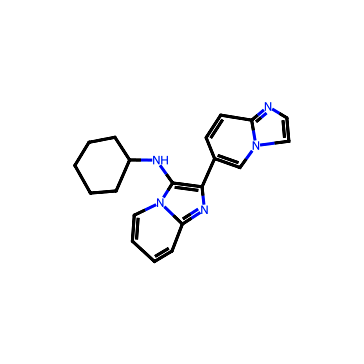 c1ccn2c(NC3CCCCC3)c(-c3ccc4nccn4c3)nc2c1